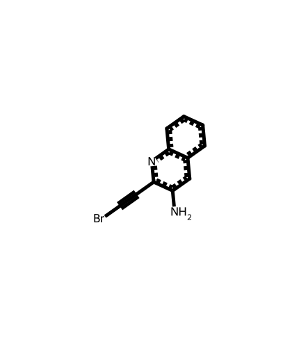 Nc1cc2ccccc2nc1C#CBr